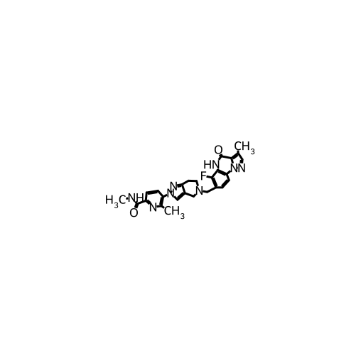 CNC(=O)c1ccc(-n2cc3c(n2)CCN(Cc2ccc4c([nH]c(=O)c5c(C)cnn54)c2F)C3)c(C)n1